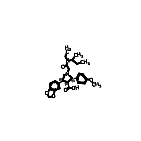 CCC(C)N(CC)C(=O)CN1C[C@H](c2ccc3c(c2)OCO3)[C@H](C(=O)O)[C@H]1c1ccc(OC)cc1